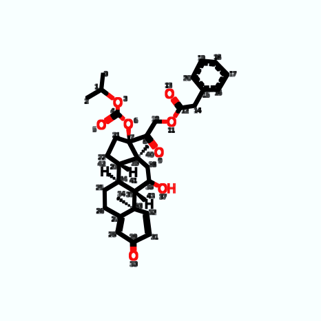 CC(C)OC(=O)O[C@]1(C(=O)COC(=O)Cc2ccccc2)CC[C@H]2[C@@H]3CCC4=CC(=O)C=C[C@]4(C)[C@H]3C(O)C[C@@]21C